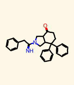 N=C(Cc1ccccc1)N1CC2C(=O)CCC(c3ccccc3)(c3ccccc3)C2C1